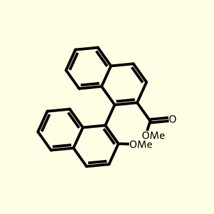 COC(=O)c1ccc2ccccc2c1-c1c(OC)ccc2ccccc12